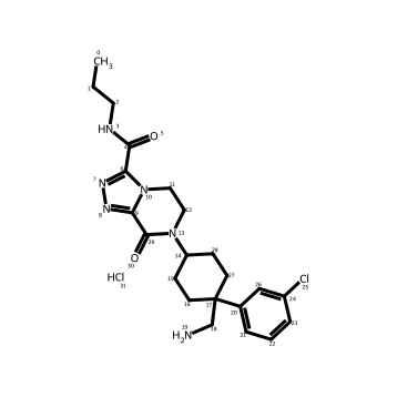 CCCNC(=O)c1nnc2n1CCN(C1CCC(CN)(c3cccc(Cl)c3)CC1)C2=O.Cl